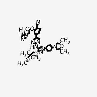 COCC(C)(C)COc1nn(C2CCC(N3C[C@@H](C)O[C@@H](C)C3)CC2)cc1Nc1ncc(-c2ccc(C#N)c(OC(C)Cn3cncn3)c2)cn1